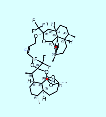 C[C@@H]1CC[C@H]2[C@@H](C)[C@](OC/C=C\CO[C@@]3(C(F)(F)F)O[C@@H]4O[C@]5(C)CC[C@H]6[C@H](C)CC[C@@H]([C@H]3C)[C@@]46OO5)(C(F)(F)F)O[C@@H]3O[C@]4(C)CC[C@@H]1[C@]32OO4